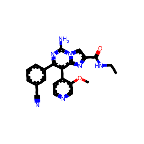 CCNC(=O)c1cn2c(N)nc(-c3cccc(C#N)c3)c(-c3ccncc3OC)c2n1